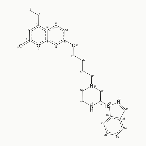 CCc1cc(=O)oc2cc(OCCCCN3CCNC([SH]4N=Cc5ccccc54)C3)ccc12